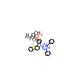 CC1(C)OP(c2ccc3c(c2)c2c4sc5ccccc5c4ccc2n3-c2nc(-c3ccccc3)nc(-c3ccccc3)n2)C1(C)C